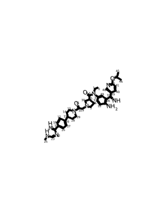 CCN(C(=O)C1CCN(CC(=O)N2CCC(c3ccc(C(=N)/N=C\NC)cc3)CC2)C1)c1ccc(N)c(C(=N)c2ccc(OC(C)C)nc2)c1